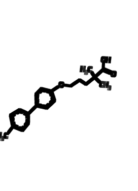 Cc1ccc(-c2ccc(OCCCC(C)(C)C(=O)O)cc2)cc1